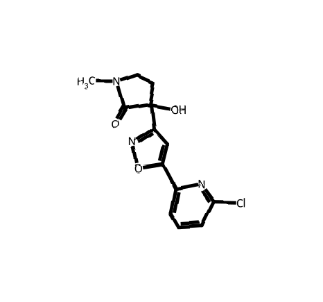 CN1CCC(O)(c2cc(-c3cccc(Cl)n3)on2)C1=O